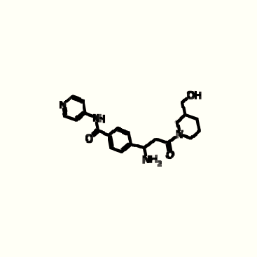 NC(CC(=O)N1CCCC(CO)C1)c1ccc(C(=O)Nc2ccncc2)cc1